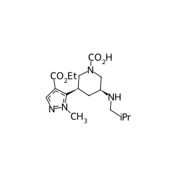 CCOC(=O)c1cnn(C)c1[C@@H]1C[C@H](NCC(C)C)CN(C(=O)O)C1